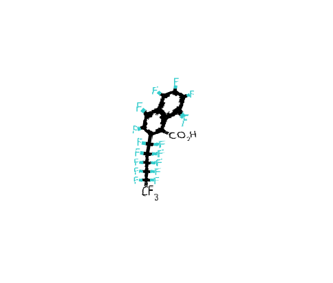 O=C(O)c1c(C(F)(F)C(F)(F)C(F)(F)C(F)(F)C(F)(F)C(F)(F)F)c(F)c(F)c2c(F)c(F)c(F)c(F)c12